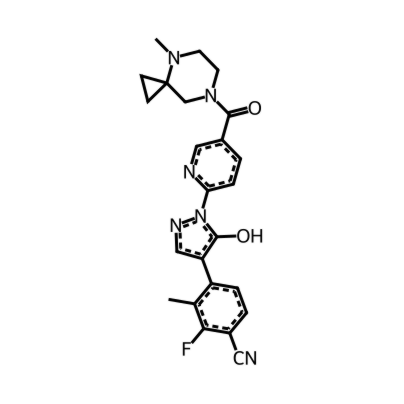 Cc1c(-c2cnn(-c3ccc(C(=O)N4CCN(C)C5(CC5)C4)cn3)c2O)ccc(C#N)c1F